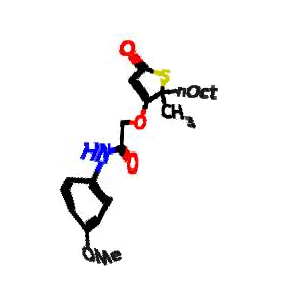 CCCCCCCCC1(C)SC(=O)C=C1OCC(=O)Nc1ccc(OC)cc1